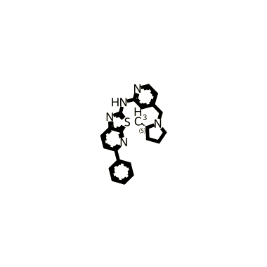 C[C@H]1CCCN1Cc1ccnc(Nc2nc3ccc(-c4ccccc4)nc3s2)c1